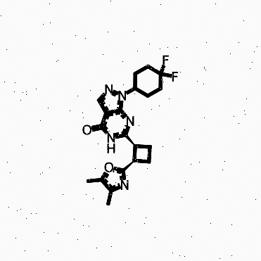 Cc1nc([C@@H]2CC[C@@H]2c2nc3c(cnn3C3CCC(F)(F)CC3)c(=O)[nH]2)oc1C